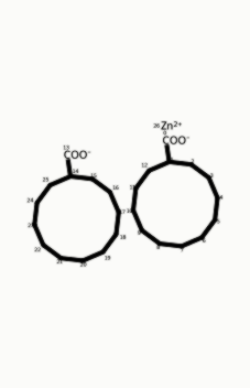 O=C([O-])C1CCCCCCCCCCC1.O=C([O-])C1CCCCCCCCCCC1.[Zn+2]